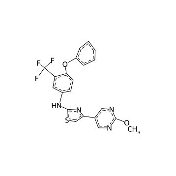 COc1ncc(-c2csc(Nc3ccc(Oc4ccccc4)c(C(F)(F)F)c3)n2)cn1